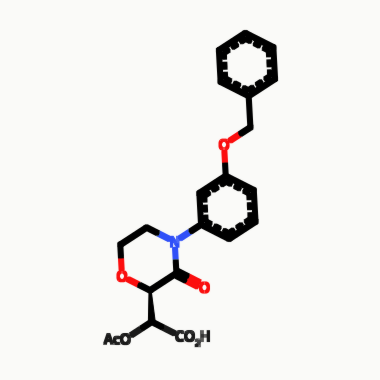 CC(=O)OC(C(=O)O)[C@H]1OCCN(c2cccc(OCc3ccccc3)c2)C1=O